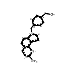 Nc1ncc2ccc3c(ccn3Cc3ccc(CCl)cc3)c2n1